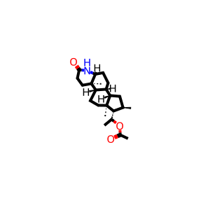 CC(=O)OC(C)[C@H]1[C@H](C)C[C@H]2[C@@H]3CC[C@H]4NC(=O)CC[C@]4(C)[C@H]3CC[C@@]21C